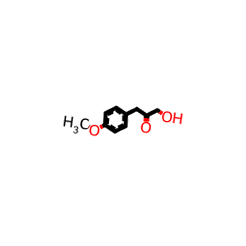 COc1ccc(CC(=O)CO)cc1